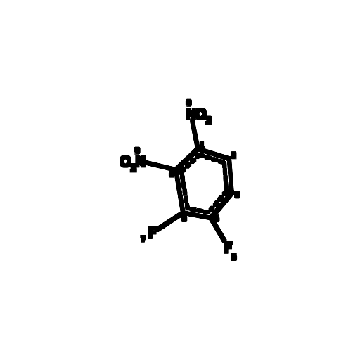 O=[N+]([O-])c1ccc(F)c(F)c1[N+](=O)[O-]